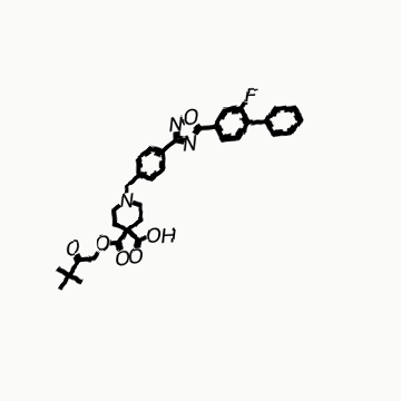 CC(C)(C)C(=O)COC(=O)C1(C(=O)O)CCN(Cc2ccc(-c3noc(-c4ccc(-c5ccccc5)c(F)c4)n3)cc2)CC1